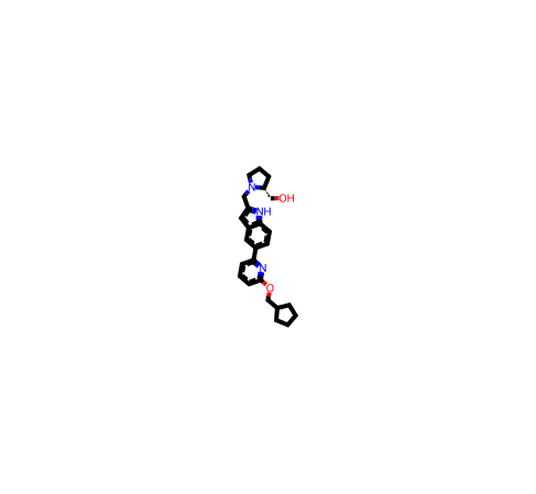 OC[C@H]1CCCN1Cc1cc2cc(-c3cccc(OCC4CCCC4)n3)ccc2[nH]1